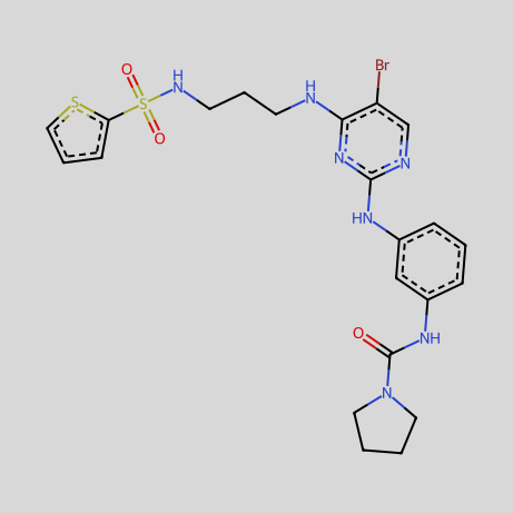 O=C(Nc1cccc(Nc2ncc(Br)c(NCCCNS(=O)(=O)c3cccs3)n2)c1)N1CCCC1